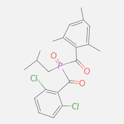 Cc1cc(C)c(C(=O)P(=O)(CC(C)C)C(=O)c2c(Cl)cccc2Cl)c(C)c1